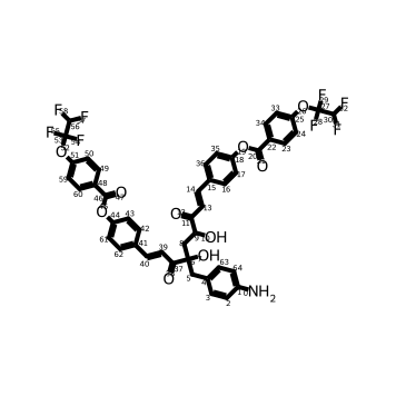 Nc1ccc(CC(O)(CC(O)C(=O)/C=C/c2ccc(OC(=O)c3ccc(OC(F)(F)C(F)F)cc3)cc2)C(=O)/C=C/c2ccc(OC(=O)c3ccc(OC(F)(F)C(F)F)cc3)cc2)cc1